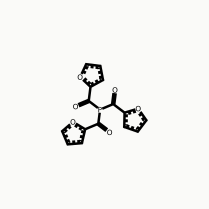 O=C(c1ccco1)P(C(=O)c1ccco1)C(=O)c1ccco1